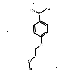 CCCOCCOc1ccc(B(O)O)cc1